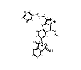 CCCSc1nnc(CCCc2ccccc2)n1Cc1ccc(NC(=O)c2ccccc2C(=O)O)cc1